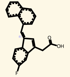 O=C(O)CC1=C/C(=C\c2cccc3ccccc23)c2ccc(F)cc21